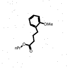 CCCOC(=O)CCCc1ccccc1OC